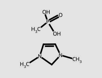 CN1C=CN(C)C1.CP(=O)(O)O